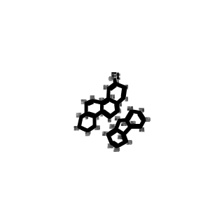 CCc1ccc2ccc3c4c(ccc3c2c1)CCCC4.c1ccc2c(c1)Cc1ccccc1-2